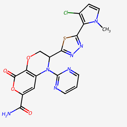 Cn1ccc(Cl)c1-c1nnc(C2COc3c(cc(C(N)=O)oc3=O)N2c2ncccn2)s1